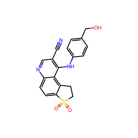 N#Cc1cnc2ccc3c(c2c1Nc1ccc(CO)cc1)CCS3(=O)=O